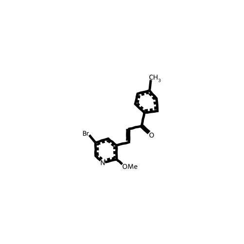 COc1ncc(Br)cc1C=CC(=O)c1ccc(C)cc1